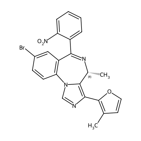 Cc1ccoc1-c1ncn2c1[C@@H](C)N=C(c1ccccc1[N+](=O)[O-])c1cc(Br)ccc1-2